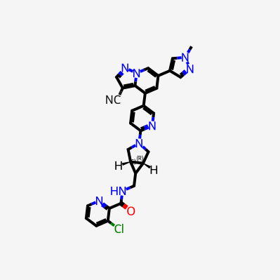 Cn1cc(-c2cc(-c3ccc(N4C[C@@H]5C(CNC(=O)c6ncccc6Cl)[C@@H]5C4)nc3)c3c(C#N)cnn3c2)cn1